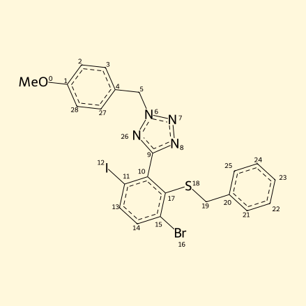 COc1ccc(Cn2nnc(-c3c(I)ccc(Br)c3SCc3ccccc3)n2)cc1